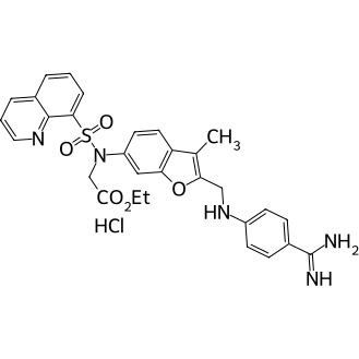 CCOC(=O)CN(c1ccc2c(C)c(CNc3ccc(C(=N)N)cc3)oc2c1)S(=O)(=O)c1cccc2cccnc12.Cl